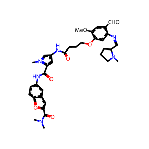 COc1cc(C=O)c(/N=C\C2CCCN2C)cc1OCCCC(=O)Nc1cc(C(=O)Nc2ccc3oc(C(=O)N(C)C)cc3c2)n(C)c1